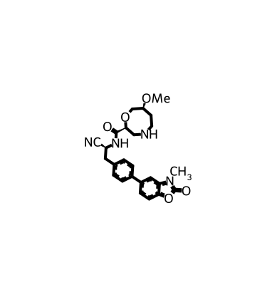 CO[C@H]1CCNC[C@@H](C(=O)N[C@H](C#N)Cc2ccc(-c3ccc4oc(=O)n(C)c4c3)cc2)OC1